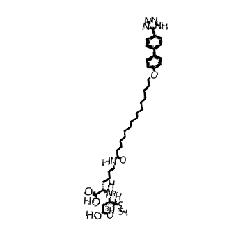 [3H]C([3H])(SSI)C(CC(=O)O)N[C@@H](CCCCNC(=O)CCCCCCCCCCCCCCCOc1ccc(-c2ccc(-c3nnn[nH]3)cc2)cc1)C(=O)O